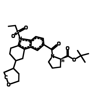 CCS(=O)(=O)n1c2c(c3cc(C(=O)N4CCC[C@@H]4C(=O)OC(C)(C)C)ccc31)CC(C1CCOCC1)CC2